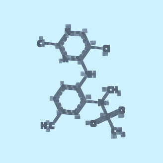 Cc1ccc(Nc2nc(Cl)ncc2Cl)c(N(C)S(C)(=O)=O)c1